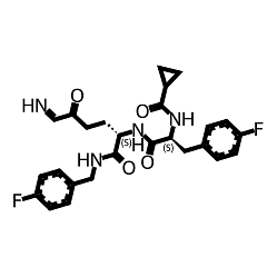 N=CC(=O)CC[C@H](NC(=O)[C@H](Cc1ccc(F)cc1)NC(=O)C1CC1)C(=O)NCc1ccc(F)cc1